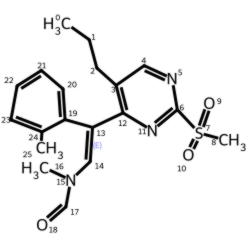 CCCc1cnc(S(C)(=O)=O)nc1/C(=C/N(C)C=O)c1ccccc1C